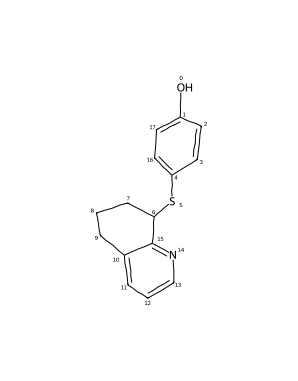 Oc1ccc(SC2CCCc3cccnc32)cc1